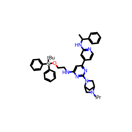 CC(Nc1cc(-c2cc(NCCO[Si](c3ccccc3)(c3ccccc3)C(C)(C)C)nc(N3CC4CC3CN4C(C)C)n2)ccn1)c1ccccc1